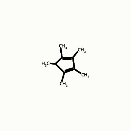 CC1=C(C)C(C)C(C)=C1C